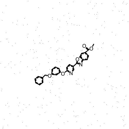 COC(=O)c1ccc2nc(-c3ccc(Oc4cccc(OCc5ccccc5)c4)nc3)oc2c1